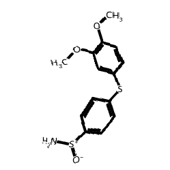 COc1ccc(Sc2ccc([S+](N)[O-])cc2)cc1OC